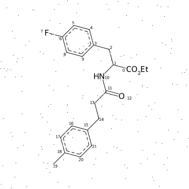 CCOC(=O)C(Cc1ccc(F)cc1)NC(=O)CCc1ccc(C)cc1